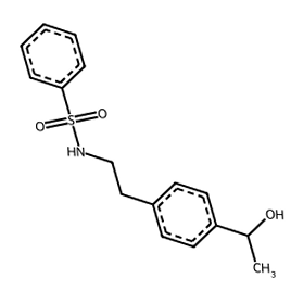 CC(O)c1ccc(CCNS(=O)(=O)c2ccccc2)cc1